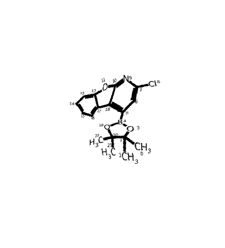 CC1(C)OB(c2cc(Cl)nc3oc4ccccc4c23)OC1(C)C